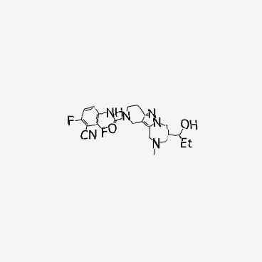 CC[C@H](O)[C@@H]1CN(C)Cc2c3c(nn2C1)CCN(C(=O)Nc1ccc(F)c(C#N)c1F)C3